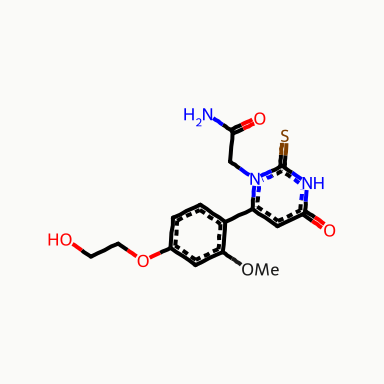 COc1cc(OCCO)ccc1-c1cc(=O)[nH]c(=S)n1CC(N)=O